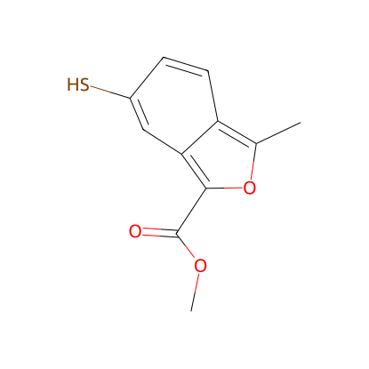 COC(=O)c1oc(C)c2ccc(S)cc12